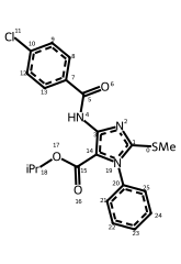 CSc1nc(NC(=O)c2ccc(Cl)cc2)c(C(=O)OC(C)C)n1-c1ccccc1